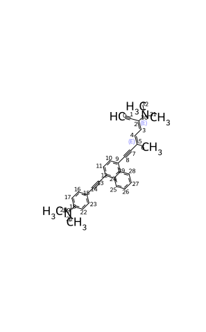 C#C/C(=C\C=C(/C)C#Cc1ccc(C#Cc2ccc(N(C)C)cc2)c2ccccc12)N(C)C